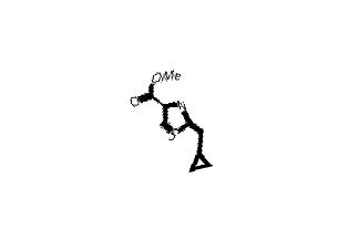 COC(=O)[C@@H]1CSC(CC2CC2)=N1